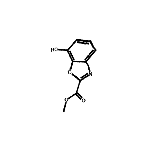 COC(=O)c1nc2cccc(O)c2o1